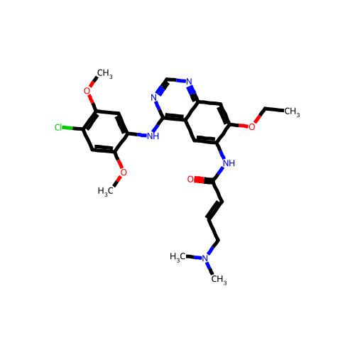 CCOc1cc2ncnc(Nc3cc(OC)c(Cl)cc3OC)c2cc1NC(=O)C=CCN(C)C